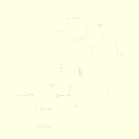 CCc1nc2c(C)cc(C)nc2n1Cc1ccc2nn(-c3ccccc3C(=O)O)c(Br)c2c1.[Na]